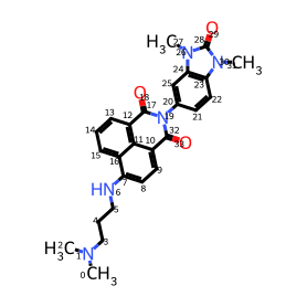 CN(C)CCCNc1ccc2c3c(cccc13)C(=O)N(c1ccc3c(c1)n(C)c(=O)n3C)C2=O